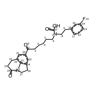 O=C(CCCCCN(CCc1cccc(F)c1)C(=O)O)c1cc2c3c(c1)CCN3C(=O)CC2